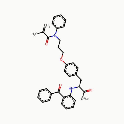 C=C(C)C(=O)N(CCCOc1ccc(C[C@H](Nc2ccccc2C(=O)c2ccccc2)C(=O)OC)cc1)c1ccccc1